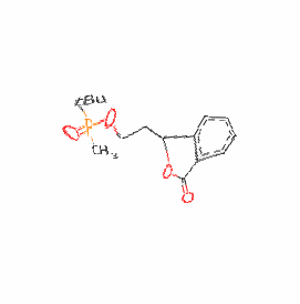 CC(C)(C)P(C)(=O)OCCC1OC(=O)c2ccccc21